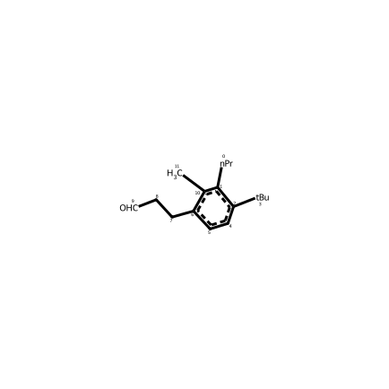 CCCc1c(C(C)(C)C)ccc(CCC=O)c1C